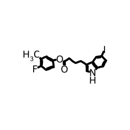 Cc1cc(OC(=O)CCCc2c[nH]c3ccc(I)cc23)ccc1F